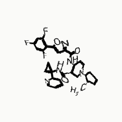 C[C@H]1CCC[C@H]1N1CC[C@@H](NC(=O)c2cc(-c3c(F)cc(F)cc3F)on2)[C@H](C(=O)NC2(c3ccccn3)CC2)C1